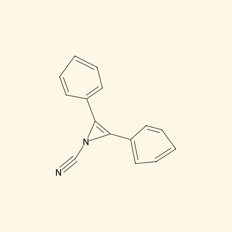 N#CN1C(c2ccccc2)=C1c1ccccc1